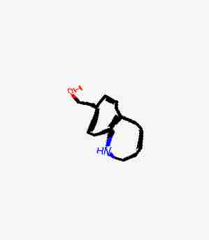 OCc1ccc2c(c1)NCC=C2